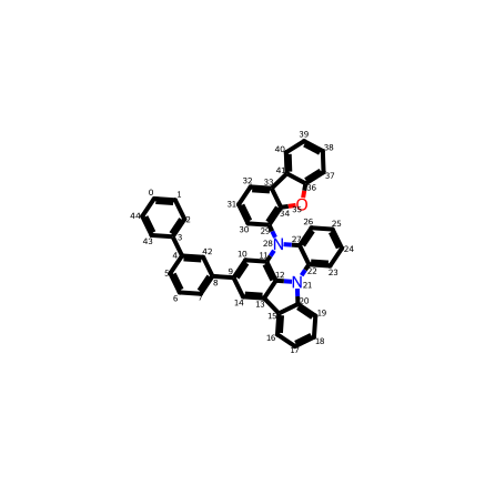 c1ccc(-c2cccc(-c3cc4c5c(c3)c3ccccc3n5-c3ccccc3N4c3cccc4c3oc3ccccc34)c2)cc1